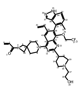 C=CC(=O)N1CC2(CCN(c3nc(C4CCN(CCO)CC4)nc4c(OCC(F)(F)F)c(-c5c(C)ccc6[nH]ncc56)c(C=C)cc34)CC2)C1